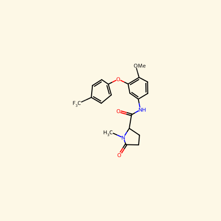 COc1ccc(NC(=O)C2CCC(=O)N2C)cc1Oc1ccc(C(F)(F)F)cc1